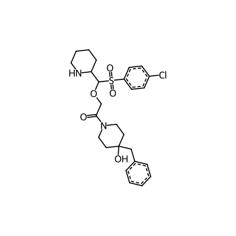 O=C(COC(C1CCCCN1)S(=O)(=O)c1ccc(Cl)cc1)N1CCC(O)(Cc2ccccc2)CC1